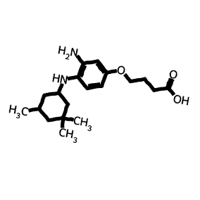 CC1CC(Nc2ccc(OCCCC(=O)O)cc2N)CC(C)(C)C1